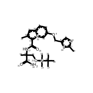 Cc1ncc(COc2ccc3cc(C)c(C(=O)NC(C)(CO[Si](C)(C)C(C)(C)C)C(N)=O)n3c2)s1